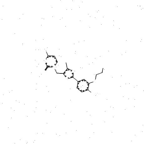 COc1ccc(-c2nc(Cn3ccc(N)nc3=O)c(C)s2)cc1OCCF